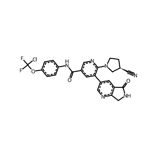 N#C[C@@H]1CCN(c2ncc(C(=O)Nc3ccc(OC(F)(F)Cl)cc3)cc2-c2cnc3c(c2)C(=O)NC3)C1